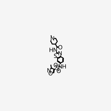 Cc1nocc1S(=O)(=O)Nc1ccc2nc(NC(=O)C3CCN(C)CC3)sc2c1